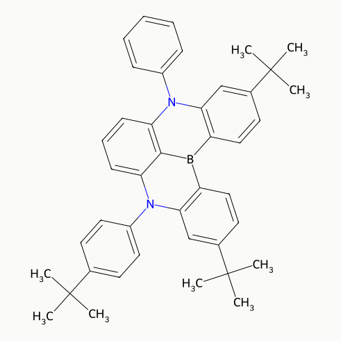 CC(C)(C)c1ccc(N2c3cc(C(C)(C)C)ccc3B3c4ccc(C(C)(C)C)cc4N(c4ccccc4)c4cccc2c43)cc1